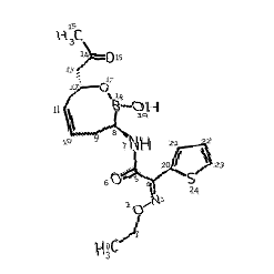 CCO/N=C(\C(=O)N[C@H]1CC=C[C@H](CC(C)=O)OB1O)c1cccs1